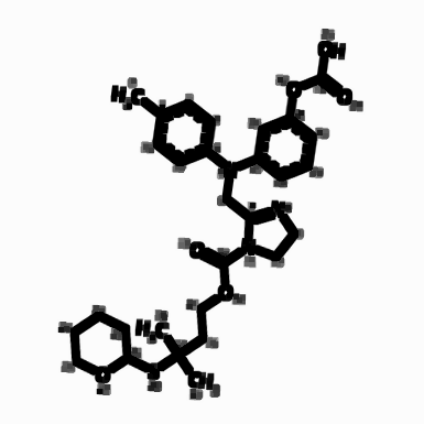 Cc1ccc(N(CC2=NCCN2C(=O)OCCC(C)(C)SC2CCCCO2)c2cccc(OC(=O)O)c2)cc1